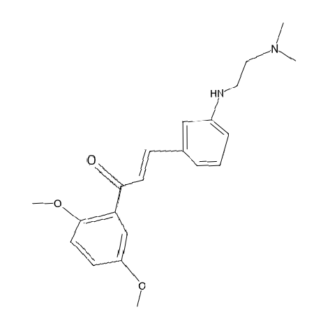 COc1ccc(OC)c(C(=O)C=Cc2cccc(NCCN(C)C)c2)c1